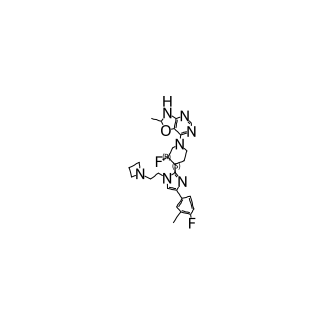 Cc1cc(-c2cn(CCN3CCC3)c([C@@H]3CCN(c4ncnc5c4OC(C)N5)C[C@@H]3F)n2)ccc1F